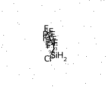 FC(F)(F)C(F)(F)C(F)(F)C(F)(F)CC[SiH2]Cl